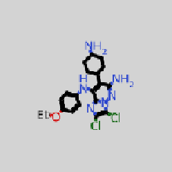 CCOc1ccc(Nc2c(C3CCC(N)CC3)c(N)nn3c(Cl)c(Cl)nc23)cc1